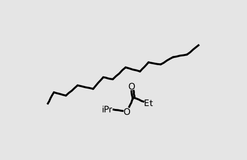 CCC(=O)OC(C)C.CCCCCCCCCCCCCC